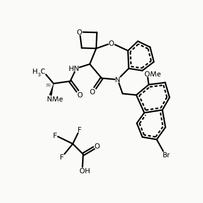 CN[C@@H](C)C(=O)NC1C(=O)N(Cc2c(OC)ccc3cc(Br)ccc23)c2ccccc2OC12COC2.O=C(O)C(F)(F)F